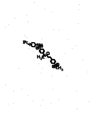 CC(C)CN1CCC(NS(=O)(=O)c2ccc(N(C)C(=O)C=Cc3ccc(S(C)(=O)=O)cc3)cc2)CC1